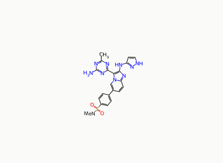 CNS(=O)(=O)c1ccc(-c2ccc3nc(Nc4cc[nH]n4)c(-c4nc(C)nc(N)n4)n3c2)cc1